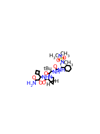 CN(C)S(=O)(=O)N(C)C[C@@H](NC(=O)N[C@H](C(=O)N1C[C@@H]2C[C@@H]2[C@H]1C(=O)NC(C(=O)C(N)=O)C1CCC1)C(C)(C)C)C1CCCCC1